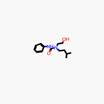 CC(C)CCN(CCO)C(=O)Nc1[c]cccc1